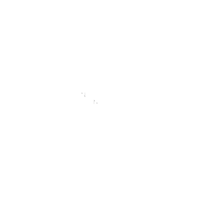 C=NN1CCCC1